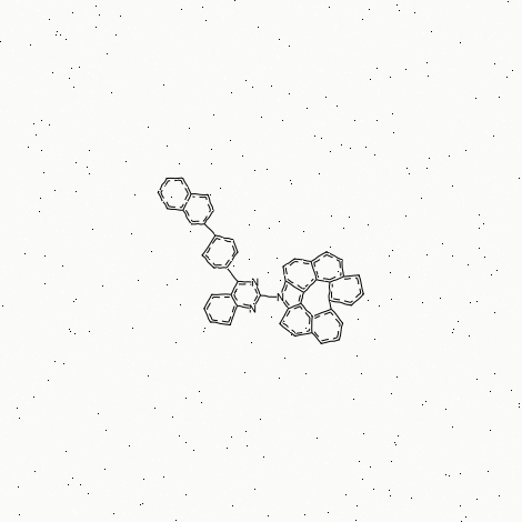 c1ccc2cc(-c3ccc(-c4nc(-n5c6ccc7cccc8c7c6c6c7c(ccc9cccc-8c97)ccc65)nc5ccccc45)cc3)ccc2c1